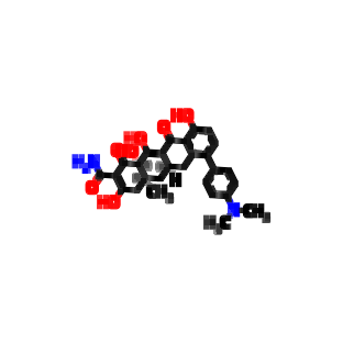 CN(C)c1ccc(-c2ccc(O)c3c2C[C@H]2C[C@@]4(C)CC(O)=C(C(N)=O)C(=O)[C@@]4(O)C(O)=C2C3=O)cc1